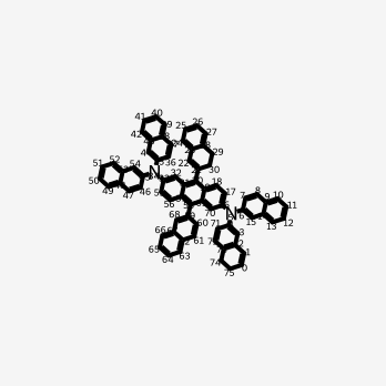 C1=Cc2cc(N(c3ccc4ccccc4c3)c3ccc4c(C5=Cc6ccccc6CC5)c5cc(N(c6ccc7ccccc7c6)c6ccc7ccccc7c6)ccc5c(-c5ccc6ccccc6c5)c4c3)ccc2CC1